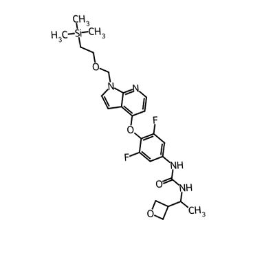 CC(NC(=O)Nc1cc(F)c(Oc2ccnc3c2ccn3COCC[Si](C)(C)C)c(F)c1)C1COC1